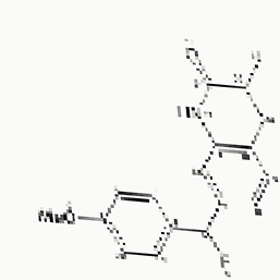 COc1ccc(C(F)c2ccc3c(c2)NC(=O)C(C)C3)cc1